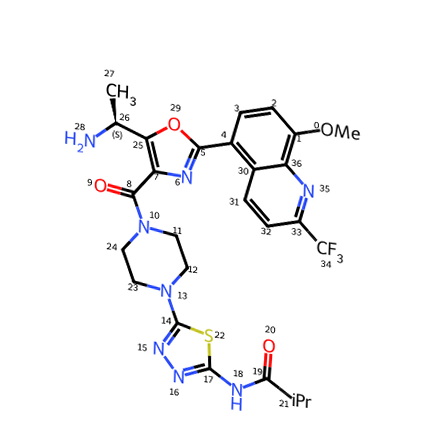 COc1ccc(-c2nc(C(=O)N3CCN(c4nnc(NC(=O)C(C)C)s4)CC3)c([C@H](C)N)o2)c2ccc(C(F)(F)F)nc12